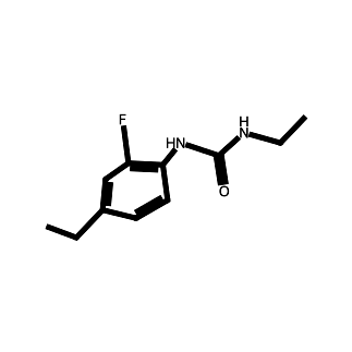 CCNC(=O)Nc1ccc(CC)cc1F